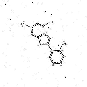 Cc1cc(C)n2nc(-c3ccncc3C)nc2n1